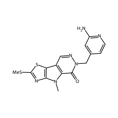 CSc1nc2c(s1)c1cnn(Cc3ccnc(N)c3)c(=O)c1n2C